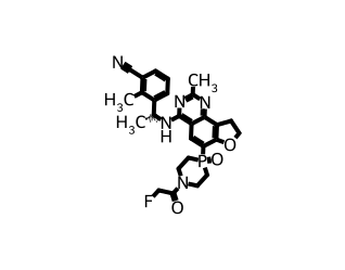 Cc1nc(N[C@H](C)c2cccc(C#N)c2C)c2cc(P3(=O)CCN(C(=O)CF)CC3)c3c(c2n1)CCO3